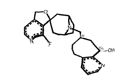 O[C@H]1C[C@H](CN2C3CCC2CC2(C3)OCc3ccnc(F)c32)CCc2cccnc21